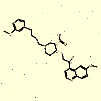 COc1cccc(CCCCN2CC[C@@H](CC[C@@H](F)c3ccnc4ccc(OC)cc34)[C@@H](C(=O)O)C2)c1